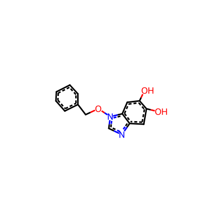 Oc1cc2ncn(OCc3ccccc3)c2cc1O